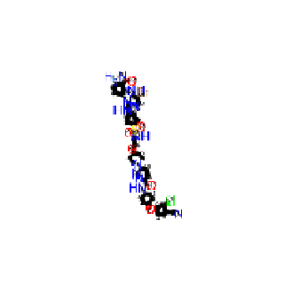 N#Cc1ccc(OC2CCC(NC(=O)c3ccc(N4CCC(OCCNS(=O)(=O)c5ccc(Nc6ncc(Br)c(Nc7cccc(F)c7C(N)=O)n6)cc5)CC4)nn3)CC2)cc1Cl